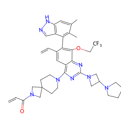 C=CC(=O)N1CC2(CCN(c3nc(N4CC(N5CCCC5)C4)nc4c(OCC(F)(F)F)c(-c5c(C)c(C)cc6[nH]ncc56)c(C=C)cc34)CC2)C1